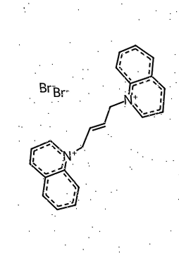 C(=C\C[n+]1cccc2ccccc21)/C[n+]1cccc2ccccc21.[Br-].[Br-]